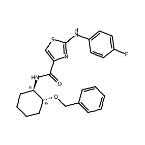 O=C(N[C@@H]1CCCC[C@H]1OCc1ccccc1)c1csc(Nc2ccc(F)cc2)n1